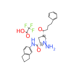 NN1C[C@@H](C(=O)CCCc2ccccc2)C[C@H]1C(=O)Nc1ccc2c(c1)CCC2.O=C(O)C(F)(F)F